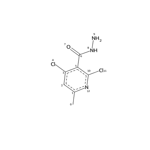 Cc1cc(Cl)c(C(=O)NN)c(Cl)n1